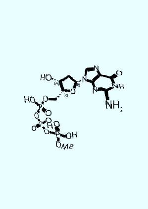 COP(=O)(O)OP(=O)(O)OP(=O)(O)OC[C@H]1O[C@@H](n2cnc3c(=O)[nH]c(N)nc32)C[C@H]1O